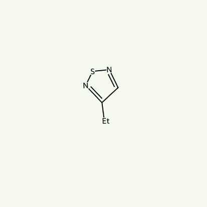 [CH2]Cc1cnsn1